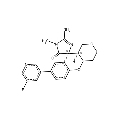 CN1C(=O)[C@]2(N=C1N)c1cc(-c3cncc(F)c3)ccc1OC1CCOC[C@@H]12